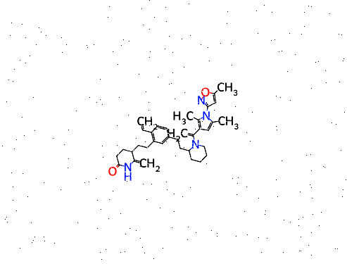 C=Cc1ccc(CCC2CCCCN2C(=C)c2cc(C)n(-c3cc(C)on3)c2C)cc1CCC1CCC(=O)NC1=C